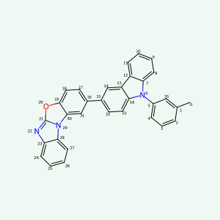 Cc1cccc(-n2c3ccccc3c3cc(-c4ccc5oc6nc7ccccc7n6c5c4)ccc32)c1